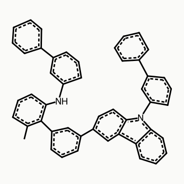 Cc1cccc(Nc2cccc(-c3ccccc3)c2)c1-c1cccc(-c2ccc3c(c2)c2ccccc2n3-c2cccc(-c3ccccc3)c2)c1